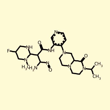 CC(C)N1CCN2CCN(c3ccncc3NC(=O)C(C(N)N=O)C3NCC(F)CN3C)CC2C1=O